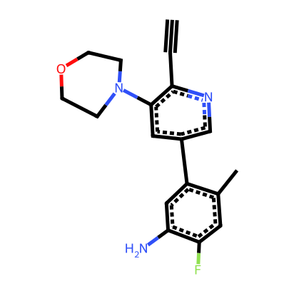 C#Cc1ncc(-c2cc(N)c(F)cc2C)cc1N1CCOCC1